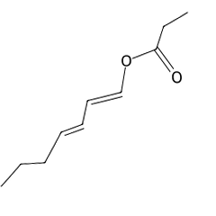 CCCC=CC=COC(=O)CC